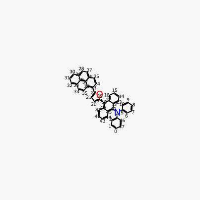 c1ccc(N(c2ccccc2)c2c3ccccc3c(-c3ccc(-c4ccc5ccc6cccc7ccc4c5c67)o3)c3ccccc23)cc1